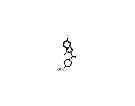 Cn1c(C(=O)N2CCC(C=O)CC2)cc2cc(Cl)ccc21